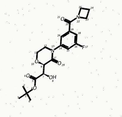 CC(C)(C)OC(=O)[C@H](O)[C@H]1OCCN(c2cc(F)cc(C(=O)N3CCC3)c2)C1=O